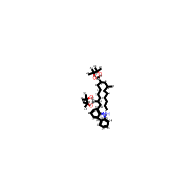 CCCCCCC(C)CC(CCCCC(Cc1cccc2c1[nH]c1ccccc12)B1OC(C)(C)C(C)(C)O1)B1OC(C)(C)C(C)(C)O1